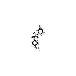 Nc1ccc(NS(=O)(=O)c2cccc(F)c2)cc1